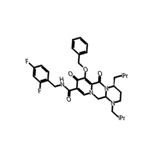 CC(C)C[C@H]1CCN(CC(C)C)C2Cn3cc(C(=O)NCc4ccc(F)cc4F)c(=O)c(OCc4ccccc4)c3C(=O)N21